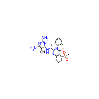 C[C@H](Nc1nc(N)nc(N)c1C#N)c1nc2cccc(S(C)(=O)=O)c2c(=O)n1-c1ccccc1F